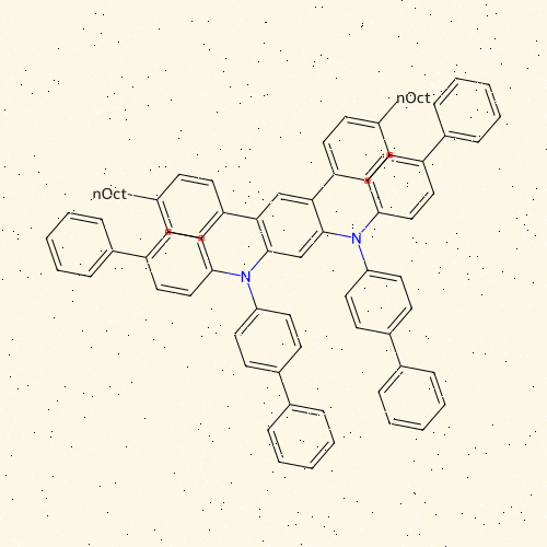 CCCCCCCCc1ccc(-c2cc(-c3ccc(CCCCCCCC)cc3)c(N(c3ccc(-c4ccccc4)cc3)c3ccc(-c4ccccc4)cc3)cc2N(c2ccc(-c3ccccc3)cc2)c2ccc(-c3ccccc3)cc2)cc1